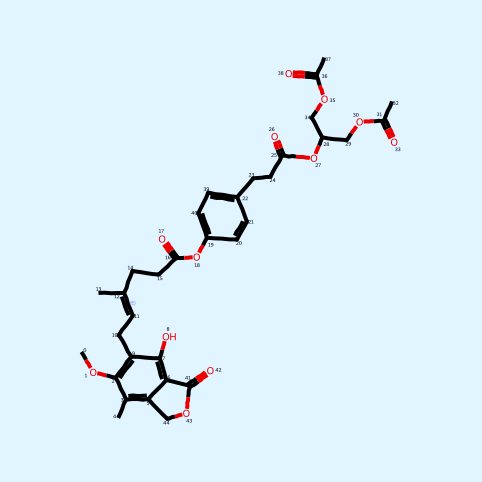 COc1c(C)c2c(c(O)c1C/C=C(\C)CCC(=O)Oc1ccc(CCC(=O)OC(COC(C)=O)COC(C)=O)cc1)C(=O)OC2